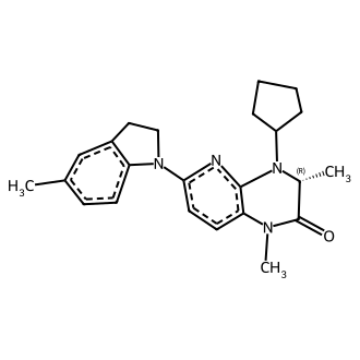 Cc1ccc2c(c1)CCN2c1ccc2c(n1)N(C1CCCC1)[C@H](C)C(=O)N2C